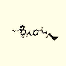 O=C(C[C@H]1CC[C@H](NCCNCC2CC2)CC1)N[C@H]1Cc2cccc(C(=O)O)c2OB1O